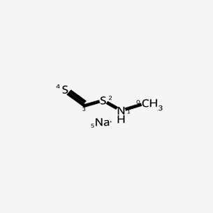 CNSC=S.[Na]